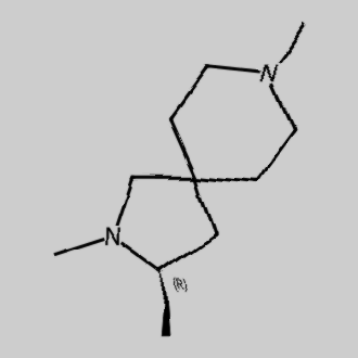 C[C@@H]1CC2(CCN(C)CC2)CN1C